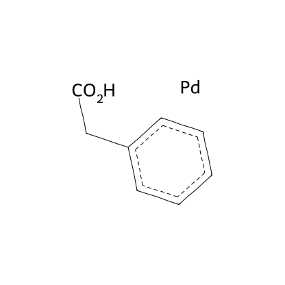 O=C(O)Cc1ccccc1.[Pd]